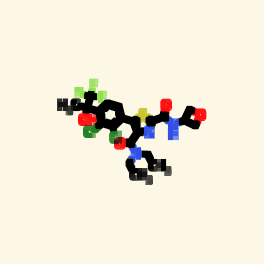 CCN(CC)C(=O)c1nc(C(=O)NC2COC2)sc1-c1ccc(C(C)(O)C(F)(F)F)c(Cl)c1Cl